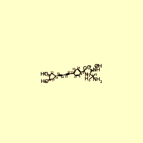 CC(C)(N)[C@H](NC(=O)c1ccc(C#CC#C[C@H]2C[C@@H](O)[C@@H](O)C2)cc1)C(=O)NO